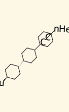 CCCCCCCC12CCC(C3CCC([C@H]4CC[C@H](CCCC)CC4)CC3)(CC1)CC2